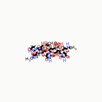 CNC(=O)CCOC1C(O)C(COC(O)C(C)(C)OC2C(COP(=O)(O)C(C)OC3C(CO)OC(n4ccc(=O)[nH]c4=O)C3OCCC(=O)NC)OC(n3ccc(=O)[nH]c3=O)C2OCCC(=O)NC)OC1n1ccc(=O)[nH]c1=O